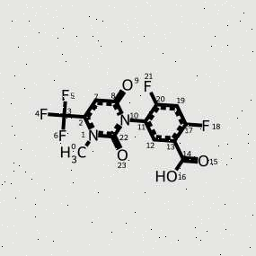 Cn1c(C(F)(F)F)cc(=O)n(-c2cc(C(=O)O)c(F)cc2F)c1=O